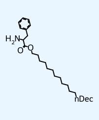 CCCCCCCCCCCCCCCCCCCCCCOC(=O)C(N)Cc1ccccc1